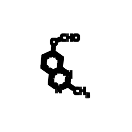 Cc1ncc2ccc(OC=O)cc2n1